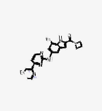 C/C=N\C(=C/CC)c1ccnc(Nc2cc(CC)c3[nH]c(C(=O)N4CCC4)cc3c2)n1